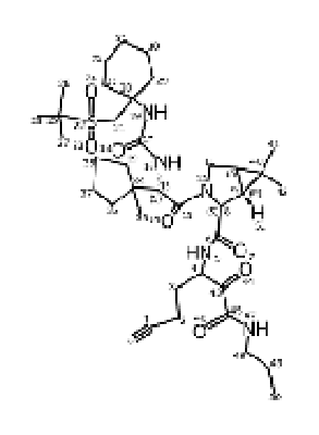 C#CCCC(NC(=O)[C@@H]1[C@@H]2C(CN1C(=O)[C@@H](NC(=O)NC1(CS(=O)(=O)C(C)(C)C)CCCCC1)C1(C)CCCC1)C2(C)C)C(=O)C(=O)NCCC